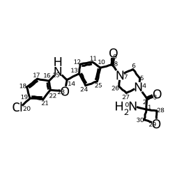 NC1(C(=O)N2CCN(C(=O)c3ccc(C4Nc5ccc(Cl)cc5O4)cc3)CC2)COC1